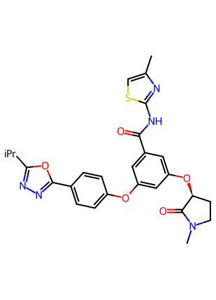 Cc1csc(NC(=O)c2cc(Oc3ccc(-c4nnc(C(C)C)o4)cc3)cc(O[C@H]3CCN(C)C3=O)c2)n1